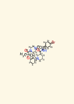 CC(C)(Oc1cccc(N2CCCC(C(=O)NCc3ccc(Br)cc3)C2)c1)C(=O)N1CCN(C(=O)O)CC1